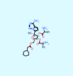 CC(C)C(N)C(=O)O[C@@H]1[C@H](OC(=O)[C@@H](N)C(C)C)[C@@H](COC(=O)CC2CCCCC2)O[C@@]1(C#N)c1ccc2c(N)ncnn12